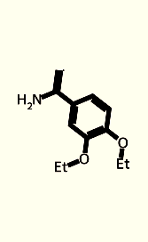 [CH]=C(N)c1ccc(OCC)c(OCC)c1